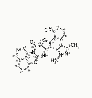 Cc1nn(C)cc1-c1cccc(Cl)c1-c1cc2[nH]c(=O)n(-c3cncc4ccccc34)c(=O)c2s1